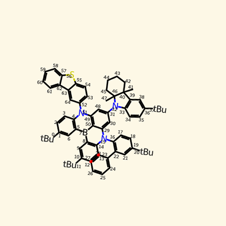 CC(C)(C)c1ccc2c(c1)B1c3cc(C(C)(C)C)ccc3N(c3ccc(C(C)(C)C)cc3-c3ccccc3)c3cc(N4c5ccc(C(C)(C)C)cc5C5(C)CCCCC45C)cc(c31)N2c1ccc2sc3ccccc3c2c1